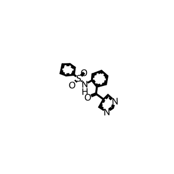 O=C(c1cncnc1)c1ccccc1NS(=O)(=O)c1ccccc1